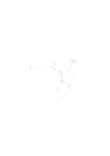 CCNn1c(N)cc2sccc21